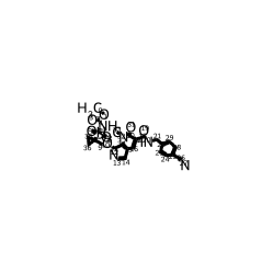 COC(=O)NS(=O)(=O)C1(COc2nccc3cc(C(=O)NCc4ccc(C#N)cc4)c(=O)n(C)c23)CC1